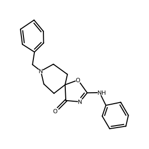 O=C1N=C(Nc2ccccc2)OC12CCN(Cc1ccccc1)CC2